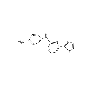 [CH2]c1ccc(Nc2cccc(-c3nccs3)n2)nc1